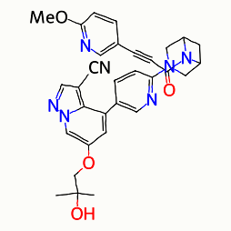 COc1ccc(C#CC(=O)N2C3CC2CN(c2ccc(-c4cc(OCC(C)(C)O)cn5ncc(C#N)c45)cn2)C3)cn1